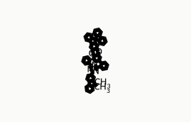 CC1(C)C2=C(C=CCC2)c2ccc(-c3nc(-c4ccccc4)nc(-c4ccccc4-c4ccc5c(c4)Oc4cc6c(cc4O5)-c4ccccc4C6(c4ccccc4)c4ccccc4)n3)cc21